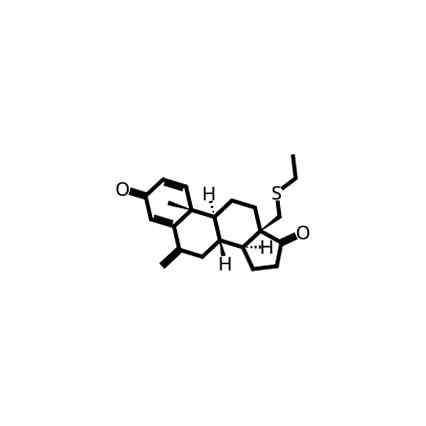 C=C1C[C@H]2[C@@H]3CCC(=O)[C@@]3(CSCC)CC[C@@H]2[C@@]2(C)C=CC(=O)C=C12